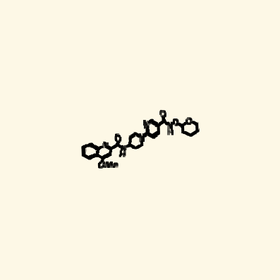 COc1cc(C(=O)NC2CCN(c3ccc(C(=O)NOC4CCCCO4)cn3)CC2)nc2ccccc12